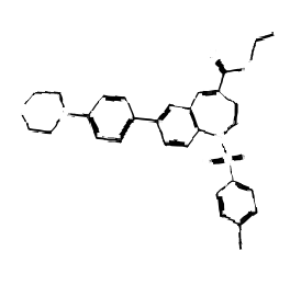 CCOC(=O)C1=Cc2cc(-c3ccc(N4CCOCC4)cc3)ccc2N(S(=O)(=O)c2ccc(C)cc2)CC1